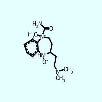 CN(C)CCC1CC[N+](C)(C(N)=O)c2ccc[c]c2[NH+]1[O-]